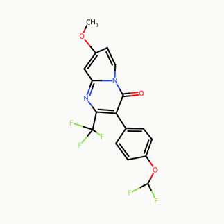 COc1ccn2c(=O)c(-c3ccc(OC(F)F)cc3)c(C(F)(F)F)nc2c1